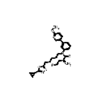 C=C(CCF)C(=O)N(CCCCCc1nnc(C2CC2)o1)c1cccc(-c2ccc(OC)nc2)c1